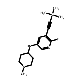 CN1CCC(Nc2cnc(F)c(C#C[Si](C)(C)C)c2)CC1